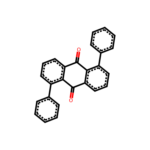 O=C1c2cccc(-c3ccccc3)c2C(=O)c2cccc(-c3ccccc3)c21